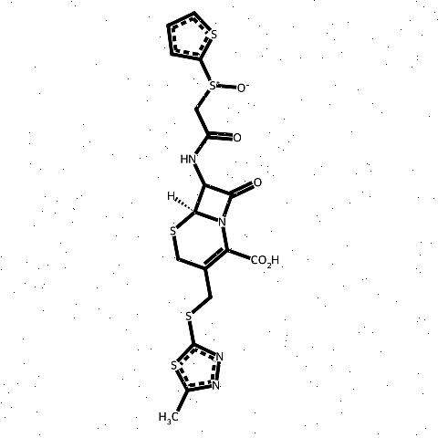 Cc1nnc(SCC2=C(C(=O)O)N3C(=O)C(NC(=O)C[S+]([O-])c4cccs4)[C@@H]3SC2)s1